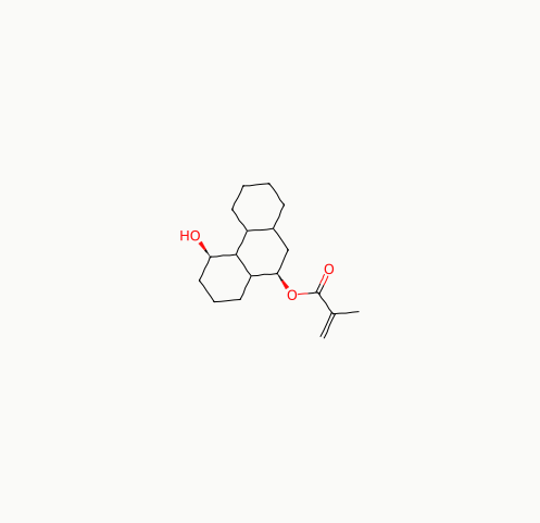 C=C(C)C(=O)O[C@@H]1CC2CCCCC2C2C1CCC[C@H]2O